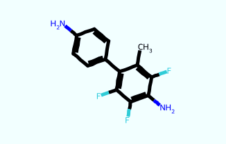 Cc1c(F)c(N)c(F)c(F)c1-c1ccc(N)cc1